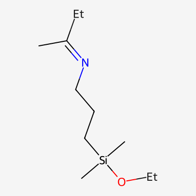 CCO[Si](C)(C)CCCN=C(C)CC